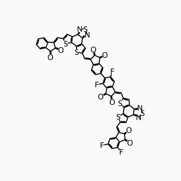 O=C1C(=O)c2ccccc2/C1=C/c1cc2c3nsnc3c3cc(/C=C4\C(=O)C(=O)c5cc(-c6c(F)cc7c(c6F)C(=O)C(=O)/C7=C\c6cc7c8nsnc8c8cc(/C=C9\C(=O)C(=O)c%10c(F)cc(F)cc%109)sc8c7s6)ccc54)sc3c2s1